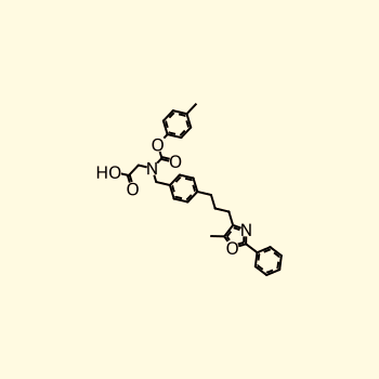 Cc1ccc(OC(=O)N(CC(=O)O)Cc2ccc(CCCc3nc(-c4ccccc4)oc3C)cc2)cc1